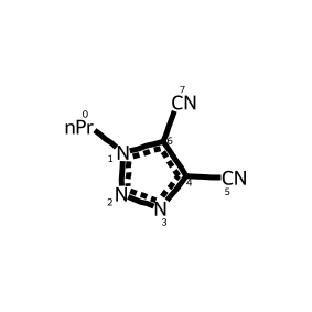 CCCn1nnc(C#N)c1C#N